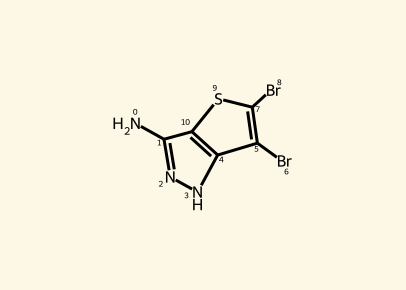 Nc1n[nH]c2c(Br)c(Br)sc12